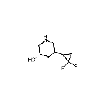 O[C@@H]1CNCC(C2CC2(F)F)C1